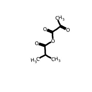 CC(=O)C(=O)OC(=O)C(C)C